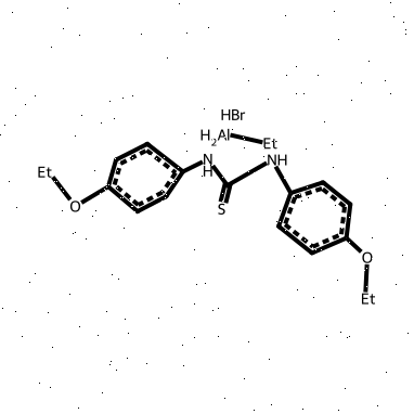 Br.CCOc1ccc(NC(=S)Nc2ccc(OCC)cc2)cc1.C[CH2][AlH2]